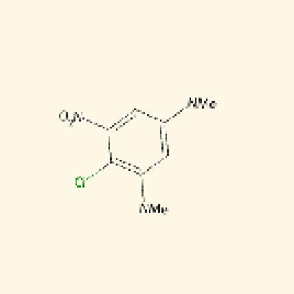 CNc1cc(NC)c(Cl)c([N+](=O)[O-])c1